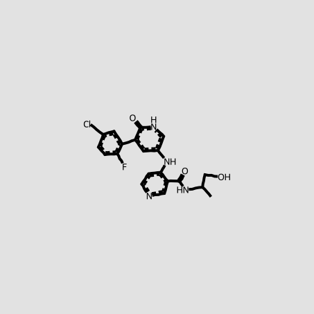 CC(CO)NC(=O)c1cnccc1Nc1c[nH]c(=O)c(-c2cc(Cl)ccc2F)c1